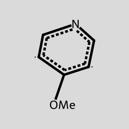 COc1[c]cnc[c]1